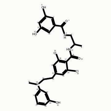 CC(CNC(=O)c1cc(O)cc(O)c1)NC(=O)c1c(Cl)cc(CCP(C)c2cccc(O)c2)cc1Cl